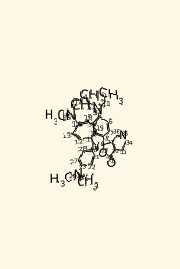 CCN(CC)c1ccc(C2(N(c3ccc(N(C)C)cc3)c3ccc(N(C)C)cc3)OC(=O)c3ccncc32)cc1